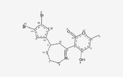 Cc1cc(O)c(C2=NCCSC(c3cc(Br)c(Br)s3)C2)c(=O)o1